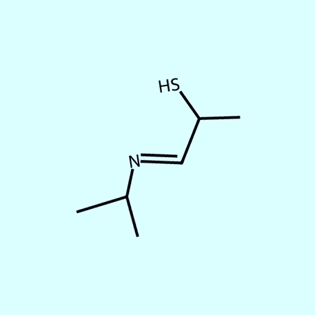 CC(S)/C=N/C(C)C